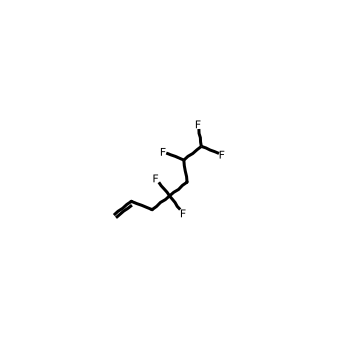 C=CCC(F)(F)CC(F)C(F)F